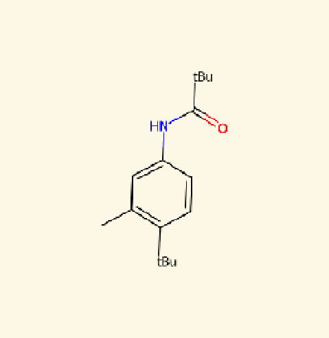 Cc1cc(NC(=O)C(C)(C)C)ccc1C(C)(C)C